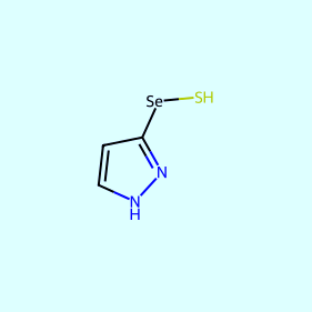 S[Se]c1cc[nH]n1